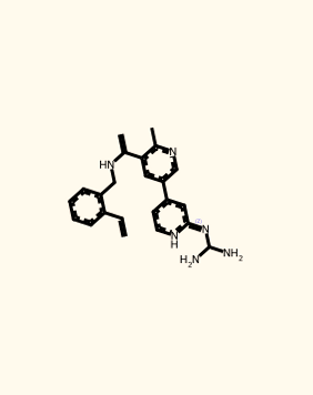 C=Cc1ccccc1CNC(=C)c1cc(-c2cc[nH]/c(=N\C(N)N)c2)cnc1C